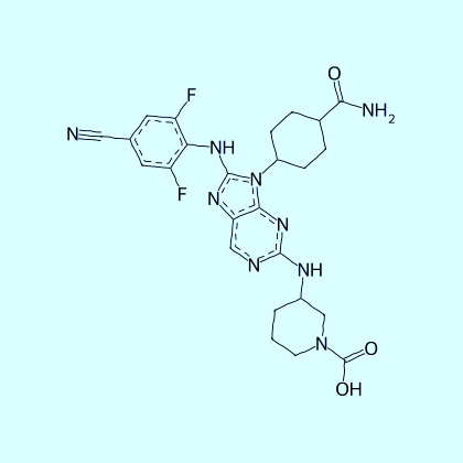 N#Cc1cc(F)c(Nc2nc3cnc(NC4CCCN(C(=O)O)C4)nc3n2C2CCC(C(N)=O)CC2)c(F)c1